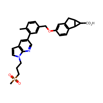 Cc1ccc(COc2ccc3c(c2)CC2C(C(=O)O)C32)cc1-c1cnc2c(ccn2CCCS(C)(=O)=O)c1